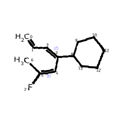 C=C/C=C(\C=C(/C)F)C1CCCCC1